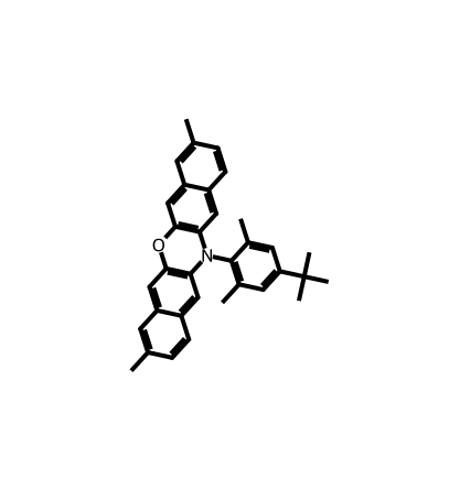 Cc1ccc2cc3c(cc2c1)Oc1cc2cc(C)ccc2cc1N3c1c(C)cc(C(C)(C)C)cc1C